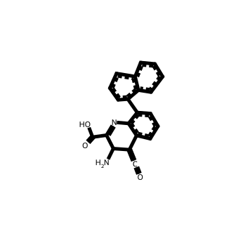 NC1C(=C=O)c2cccc(-c3cccc4ccccc34)c2N=C1C(=O)O